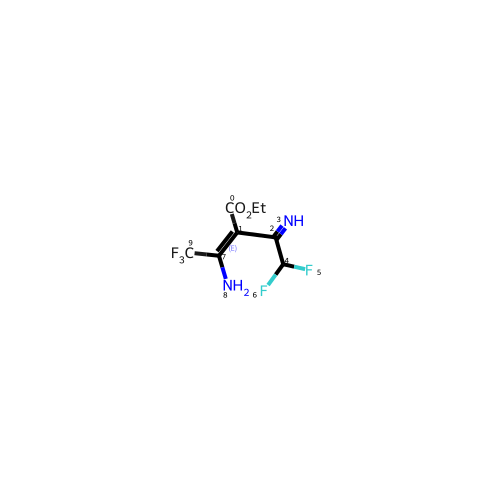 CCOC(=O)/C(C(=N)C(F)F)=C(/N)C(F)(F)F